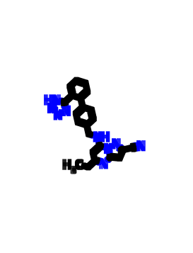 CCc1cc(NCc2ccc(-c3ccccc3-c3nnn[nH]3)cc2)n2nc(C#N)cc2n1